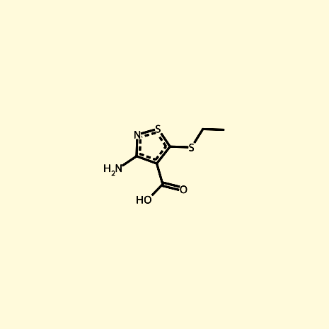 CCSc1snc(N)c1C(=O)O